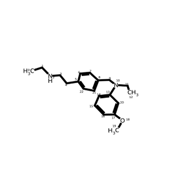 CCNCCc1ccc(CN(CC)c2cccc(OC)c2)cc1